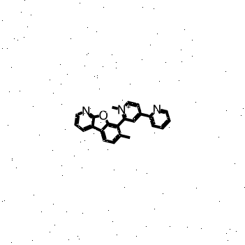 Cc1ccc2c(oc3ncccc32)c1-c1cc(-c2ccccn2)cc[n+]1C